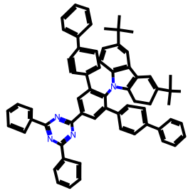 CC(C)(C)C1=Cc2c(n(-c3c(-c4c#cc(-c5ccccc5)cc4)cc(-c4nc(-c5ccccc5)nc(-c5ccccc5)n4)cc3-c3ccc(-c4ccccc4)cc3)c3ccc(C(C)(C)C)cc23)CC1